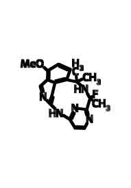 COc1ccc2c3cc(ncc13)Nc1ccnc(n1)C(C)(F)NC2(C)C